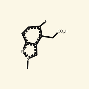 Cn1cc2c(CC(=O)O)c(F)ccc2n1